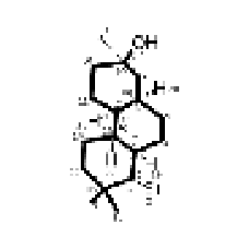 CC[C@H]1[C@@H]2CC[C@@H]3C[C@](C)(O)CC[C@@H]3[C@H]2CCC1(C)C